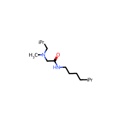 CC(C)CCCCNC(=O)CN(C)CC(C)C